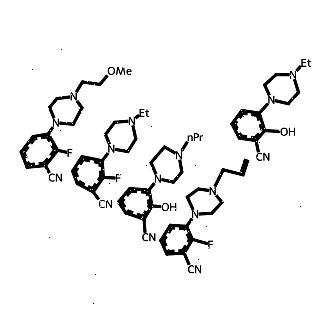 C=CCN1CCN(c2cccc(C#N)c2F)CC1.CCCN1CCN(c2cccc(C#N)c2O)CC1.CCN1CCN(c2cccc(C#N)c2F)CC1.CCN1CCN(c2cccc(C#N)c2O)CC1.COCCN1CCN(c2cccc(C#N)c2F)CC1